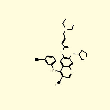 C#Cc1cccc(Nc2c(C#N)cnc3cc(O[C@H]4CCOC4)c(NC(=O)/C=C/CN(CC)CC)cc23)c1